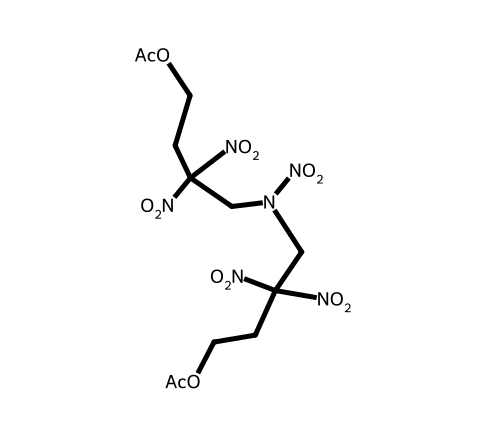 CC(=O)OCCC(CN(CC(CCOC(C)=O)([N+](=O)[O-])[N+](=O)[O-])[N+](=O)[O-])([N+](=O)[O-])[N+](=O)[O-]